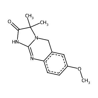 COc1ccc2c(c1)CN1C(=N2)NC(=O)C1(C)C